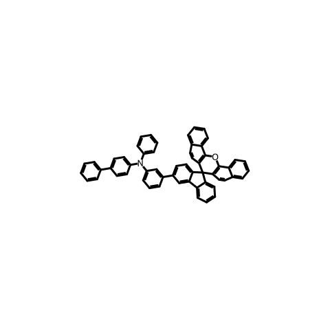 c1ccc(-c2ccc(N(c3ccccc3)c3cccc(-c4ccc5c(c4)-c4ccccc4C54c5ccc6ccccc6c5Oc5c4ccc4ccccc54)c3)cc2)cc1